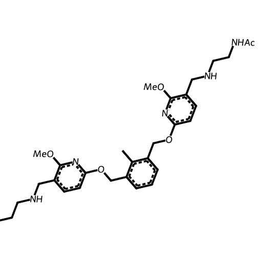 COc1nc(OCc2cccc(COc3ccc(CNCCNC(C)=O)c(OC)n3)c2C)ccc1CNCCNC(C)=O